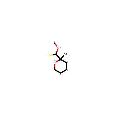 COC(S)C1([SiH3])CCCCO1